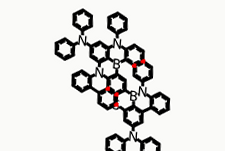 c1ccc(-c2ccccc2N2c3cc4c(cc3B3c5ccccc5N(c5ccccc5)c5cc(N(c6ccccc6)c6ccccc6)cc2c53)B2c3c(cc(N(c5ccccc5)c5ccccc5)cc3-c3ccccc3N2c2ccccc2)S4)cc1